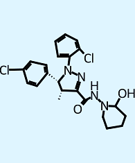 C[C@H]1C(C(=O)NN2CCCCC2O)=NN(c2ccccc2Cl)[C@H]1c1ccc(Cl)cc1